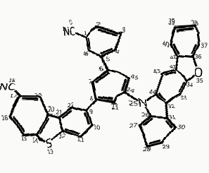 N#Cc1cccc(-c2cc(-c3ccc4sc5ccc(C#N)cc5c4c3)cc(-n3c4ccccc4c4cc5oc6ccccc6c5cc43)c2)c1